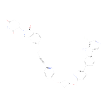 O=C1CCC(N2Cc3cc(OCC#Cc4ccc(OC5CC(Oc6ccc(-c7ccc8c(c7)[nH]c7c(F)cncc78)cn6)C5)cn4)ccc3C2=O)C(=O)N1